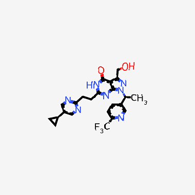 CC(c1ccc(C(F)(F)F)nc1)n1nc(CO)c2c(=O)[nH]c(CCc3ncc(C4CC4)cn3)nc21